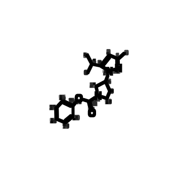 Cc1cc(C(C)C)n(C2CCN(C(=O)Oc3ccccc3)C2)n1